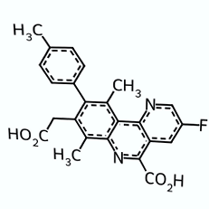 Cc1ccc(-c2c(CC(=O)O)c(C)c3nc(C(=O)O)c4cc(F)cnc4c3c2C)cc1